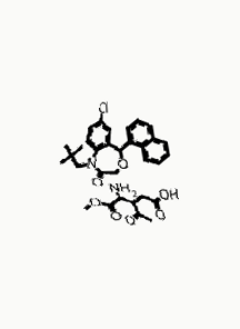 CC(C)(C)CN1C(=O)COC(c2cccc3ccccc23)c2cc(Cl)ccc21.COC(=O)[C@@H](N)C(CC(=O)O)C(C)=O